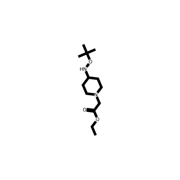 CCOC(=O)CN1CCC(NOC(C)(C)C)CC1